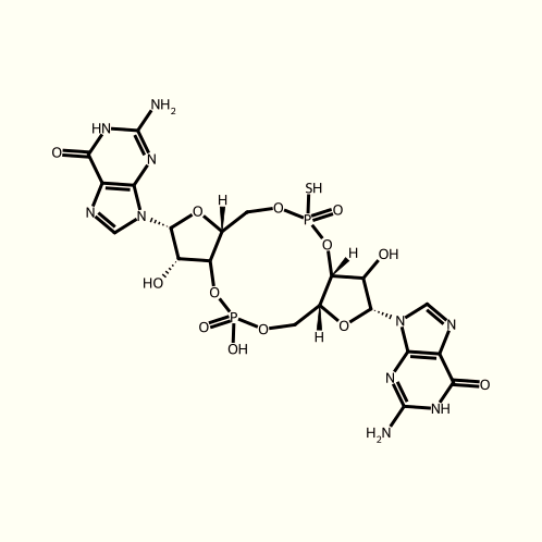 Nc1nc2c(ncn2[C@@H]2O[C@@H]3COP(=O)(O)OC4[C@@H](COP(=O)(S)O[C@@H]3C2O)O[C@@H](n2cnc3c(=O)[nH]c(N)nc32)[C@H]4O)c(=O)[nH]1